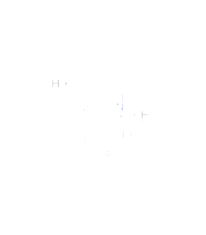 CCOC(NC)C(F)(F)F